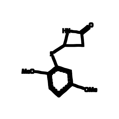 COc1ccc(OC)c(SC2CC(=O)N2)c1